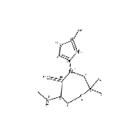 CNC1CCC(C)(C)CN(c2csc(C)n2)C1=O